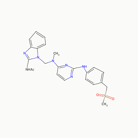 CC(=O)Nc1nc2ccccc2n1CN(C)c1ccnc(Nc2ccc(CS(C)(=O)=O)cc2)n1